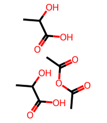 CC(=O)OC(C)=O.CC(O)C(=O)O.CC(O)C(=O)O